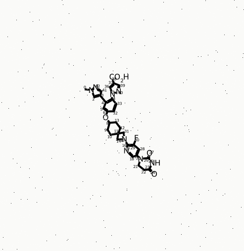 Cn1cc(-c2cc(OC3CCC4(CC3)CN(c3ncc(N5CCC(=O)NC5=O)cc3F)C4)ccc2-n2cc(C(=O)O)cn2)cn1